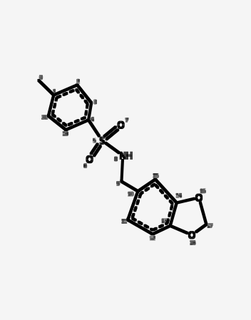 Cc1ccc(S(=O)(=O)NCc2ccc3c(c2)OCO3)cc1